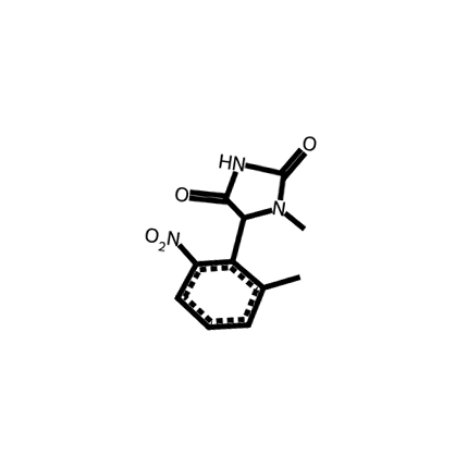 Cc1cccc([N+](=O)[O-])c1C1C(=O)NC(=O)N1C